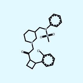 CS(=O)(=O)N(CC1CCCN(CC(=O)C2CCC2c2ccccc2Cl)C1)c1ccccc1